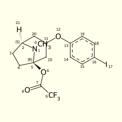 CN1[C@H]2CC[C@@]1(OC(=O)C(F)(F)F)CC(Oc1ccc(I)cc1)C2